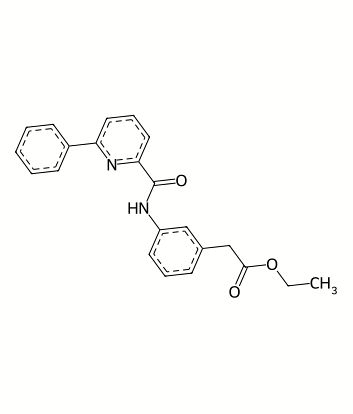 CCOC(=O)Cc1cccc(NC(=O)c2cccc(-c3ccccc3)n2)c1